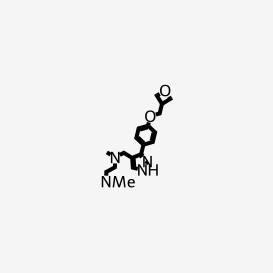 CNCCN(C)Cc1c[nH]nc1-c1ccc(OCC2COC2)cc1